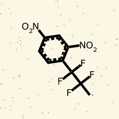 [CH2]C(F)(F)C(F)(F)c1ccc([N+](=O)[O-])cc1[N+](=O)[O-]